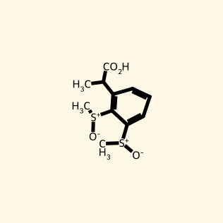 CC(C(=O)O)c1cccc([S+](C)[O-])c1[S+](C)[O-]